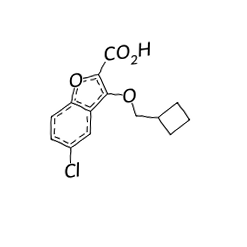 O=C(O)c1oc2ccc(Cl)cc2c1OCC1CCC1